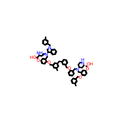 Cc1cccc(COc2ccccc2CN(Cc2ccccc2OCc2cccc(Cc3cc(C)cc(COc4ccccc4CN(CC[C@H](N)C(=O)O)C4CN(Cc5cccc(C)c5)c5ccccc54)c3)c2)C2CCN[C@H](C(=O)O)C2)c1